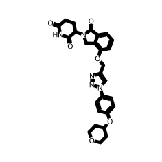 O=C1CCC(N2Cc3c(OCc4cn(-c5ccc(OC6CCOCC6)cc5)nn4)cccc3C2=O)C(=O)N1